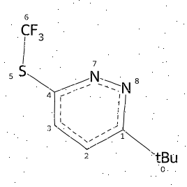 CC(C)(C)c1ccc(SC(F)(F)F)nn1